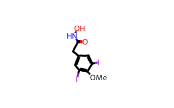 COc1c(I)cc(CC(=O)NO)cc1I